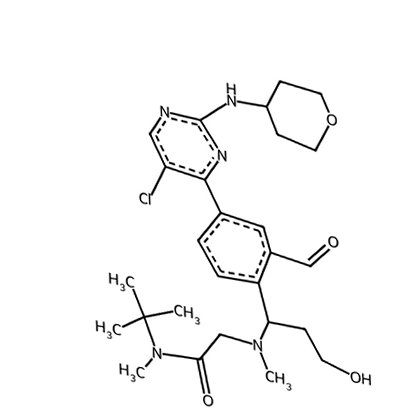 CN(CC(=O)N(C)C(C)(C)C)C(CCO)c1ccc(-c2nc(NC3CCOCC3)ncc2Cl)cc1C=O